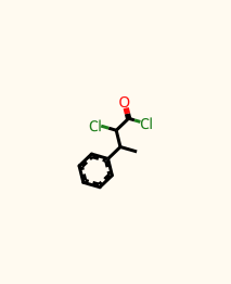 CC(c1ccccc1)C(Cl)C(=O)Cl